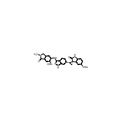 COc1ccc2c(c1)[C@]1(C[C@H]1c1ccc3c(Nc4cc5c(cc4OC)C(=O)N(C)C5)n[nH]c3c1)C(=O)N2